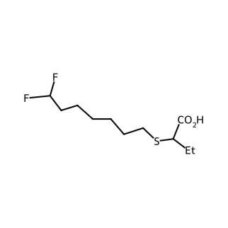 CCC(SCCCCCCC(F)F)C(=O)O